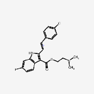 CN(C)CCOC(=O)c1c(/C=C/c2ccc(Cl)cc2)[nH]c2cc(F)ccc12